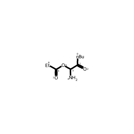 CCCCC(=O)C(N)OC(=O)CC